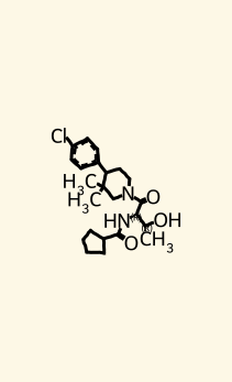 C[C@@H](O)[C@@H](NC(=O)C1CCCC1)C(=O)N1CCC(c2ccc(Cl)cc2)C(C)(C)C1